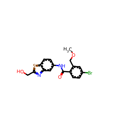 COCc1cc(Br)ccc1C(=O)Nc1ccc2sc(CO)nc2c1